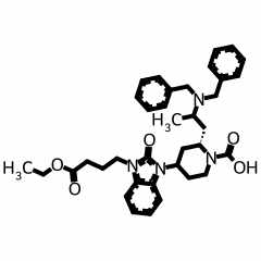 CCOC(=O)CCCn1c(=O)n(C2CCN(C(=O)O)[C@@H](CC(C)N(Cc3ccccc3)Cc3ccccc3)C2)c2ccccc21